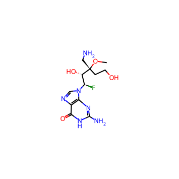 CO[C@](CN)(CCO)[C@@H](O)[C@@H](F)n1cnc2c(=O)[nH]c(N)nc21